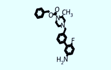 C[C@H]1CN(Cc2cccc(-c3cc(N)ccc3F)c2)CCN1C(=O)OCc1ccccc1